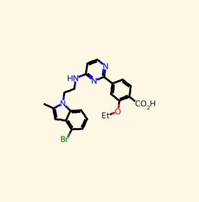 CCOc1cc(-c2nccc(NCCn3c(C)cc4c(Br)cccc43)n2)ccc1C(=O)O